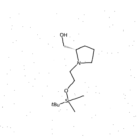 CC(C)(C)[Si](C)(C)OCCN1CCC[C@H]1CO